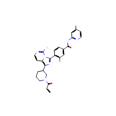 C=CC(=O)N1CCCC(c2nc(-c3ccc(C(=O)Nc4cc(C(F)(F)F)ccn4)cc3Cl)n3c(N)nccc23)C1